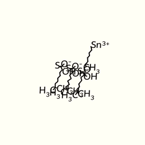 CC(C)CCCCCC(O)C([O-])=S.CC(C)CCCCCC(O)C([O-])=S.CC(C)CCCCCC(O)C([O-])=S.CCCCCCC[CH2][Sn+3]